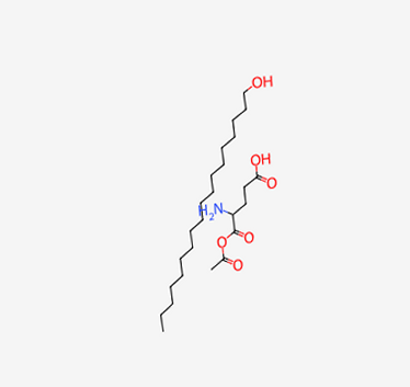 CC(=O)OC(=O)C(N)CCC(=O)O.CCCCCCCCCCCCCCCCCCO